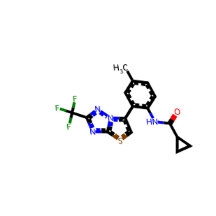 Cc1ccc(NC(=O)C2CC2)c(-c2csc3nc(C(F)(F)F)nn23)c1